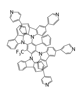 FC(F)(F)c1c(-n2c3ccccc3c3ccccc32)c(-n2c3ccc(-c4ccncc4)cc3c3cc(-c4ccncc4)ccc32)c(-c2ccccc2)c(-n2c3ccc(-c4ccncc4)cc3c3cc(-c4ccncc4)ccc32)c1-n1c2ccccc2c2ccccc21